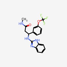 CNC(=O)CC(Nc1nc2ccccc2[nH]1)c1cccc(OC(F)(F)F)c1